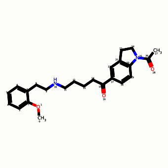 COc1ccccc1CCNCCCCC(=O)c1ccc2c(c1)CCN2C(C)=O